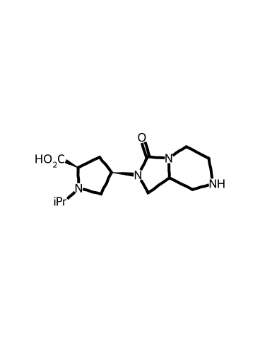 CC(C)N1C[C@H](N2CC3CNCCN3C2=O)C[C@@H]1C(=O)O